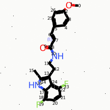 COc1ccc(/C=C/C(=O)NCCc2c(C)[nH]c3c(F)ccc(F)c23)cc1